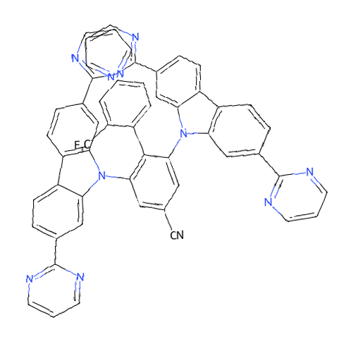 N#Cc1cc(-n2c3cc(-c4ncccn4)ccc3c3ccc(-c4ncccn4)cc32)c(-c2ccccc2C(F)(F)F)c(-n2c3cc(-c4ncccn4)ccc3c3ccc(-c4ncccn4)cc32)c1